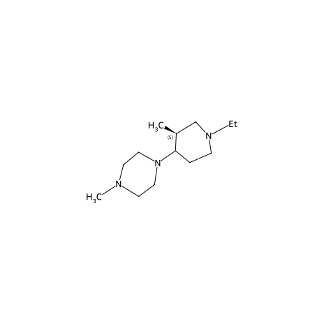 CCN1CCC(N2CCN(C)CC2)[C@@H](C)C1